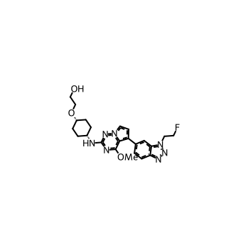 COc1nc(N[C@H]2CC[C@@H](OCCO)CC2)nn2ccc(-c3ccc4nnn(CCF)c4c3)c12